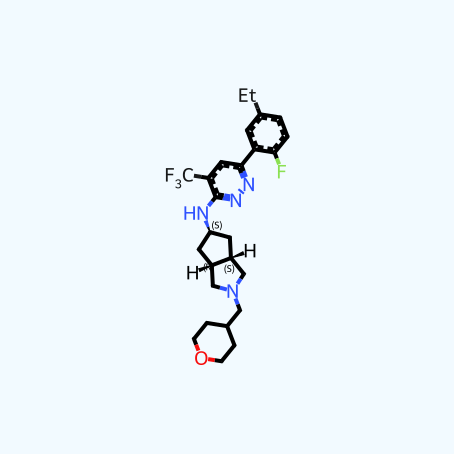 CCc1ccc(F)c(-c2cc(C(F)(F)F)c(N[C@H]3C[C@@H]4CN(CC5CCOCC5)C[C@@H]4C3)nn2)c1